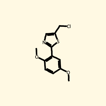 COc1ccc(OC)c(-c2ncc(CCl)s2)c1